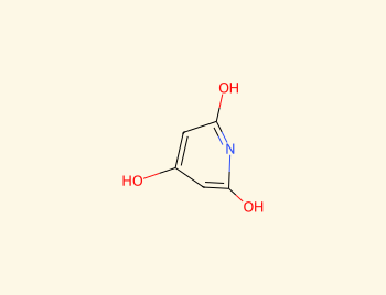 Oc1cc(O)nc(O)c1